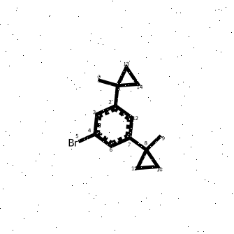 CC1(c2cc(Br)cc(C3(C)CC3)c2)CC1